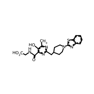 Cc1nc(CC2CCN(c3nc4ccccc4s3)CC2)nc(C(=O)NCC(=O)O)c1O